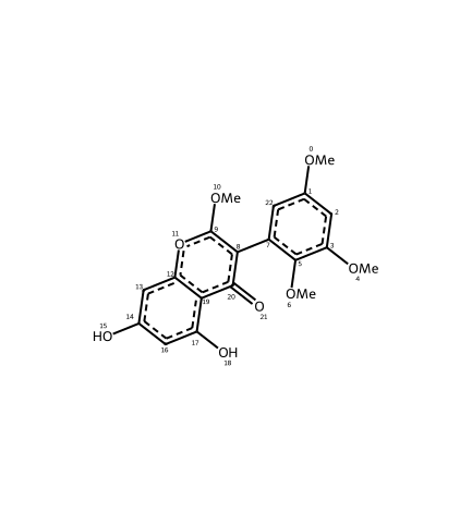 COc1cc(OC)c(OC)c(-c2c(OC)oc3cc(O)cc(O)c3c2=O)c1